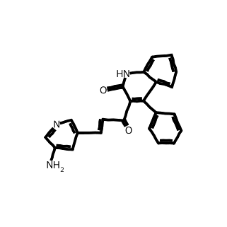 Nc1cncc(/C=C/C(=O)c2c(-c3ccccc3)c3ccccc3[nH]c2=O)c1